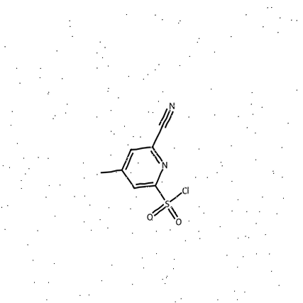 Cc1cc(C#N)nc(S(=O)(=O)Cl)c1